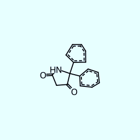 O=C1CC(=O)C(c2ccccc2)(c2ccccc2)N1